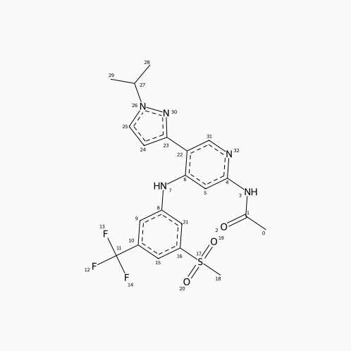 CC(=O)Nc1cc(Nc2cc(C(F)(F)F)cc(S(C)(=O)=O)c2)c(-c2ccn(C(C)C)n2)cn1